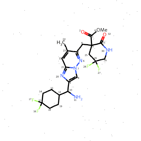 COC(=O)C1(Cc2nn3cc(C(N)C4CCC(F)(F)CC4)nc3cc2C)CC(F)(F)CNC1=O